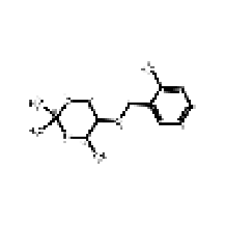 Cc1ccccc1COC1COC(C)(C)OC1C